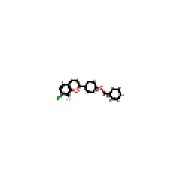 Fc1ccc2c(c1F)OC(C1CCC(OCC3CCCCC3)CC1)CC2